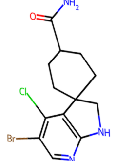 NC(=O)C1CCC2(CC1)CNc1ncc(Br)c(Cl)c12